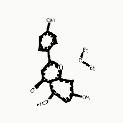 CCOCC.O=c1cc(-c2ccc(O)cc2)oc2cc(O)cc(O)c12